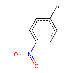 [C]c1ccc([N+](=O)[O-])cc1